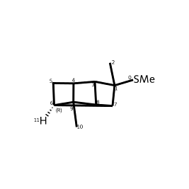 CSC1(C)C2C3C[C@@H]4C1C2C34C